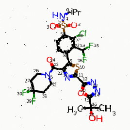 CC(C)NS(=O)(=O)c1ccc(-c2sc(-c3nnc(C(C)(C)O)o3)nc2C(=O)N2CCC(F)(F)CC2)c(C(F)F)c1Cl